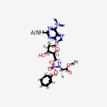 CC(=O)Nc1nc(N(C)C)c2ncn([C@@H]3OC(COP(=O)(N[C@@H](C)C(=O)OC(C)C)Oc4ccccc4)[C@@H](O)[C@@]3(C)F)c2n1